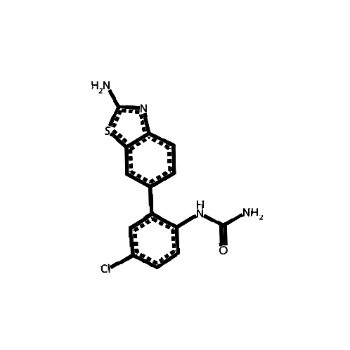 NC(=O)Nc1ccc(Cl)cc1-c1ccc2nc(N)sc2c1